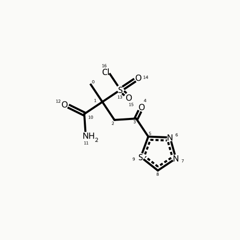 CC(CC(=O)c1nncs1)(C(N)=O)S(=O)(=O)Cl